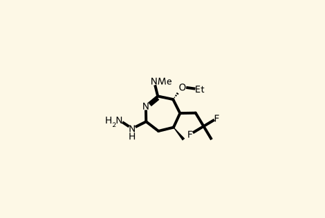 CCO[C@H]1C(NC)=NC(NN)C[C@H](C)C1CC(C)(F)F